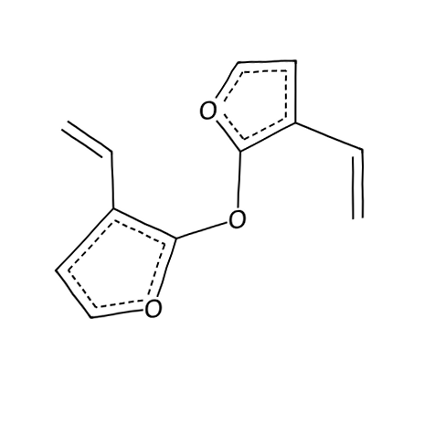 C=Cc1ccoc1Oc1occc1C=C